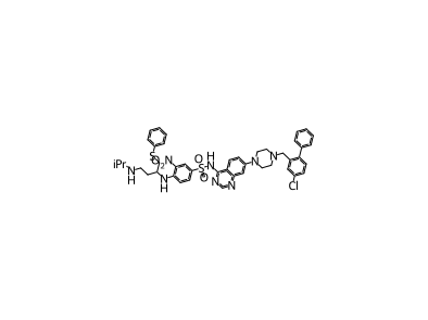 CC(C)NCCC(CSc1ccccc1)Nc1ccc(S(=O)(=O)Nc2ncnc3cc(N4CCN(Cc5cc(Cl)ccc5-c5ccccc5)CC4)ccc23)cc1[N+](=O)[O-]